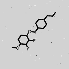 CCCC1CCC(COC2CCC(OC)C(F)C2F)CC1